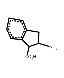 NC1Cc2ccccc2C1C(=O)O